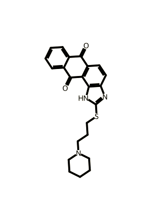 O=C1c2ccccc2C(=O)c2c1ccc1nc(SCCCN3CCCCC3)[nH]c21